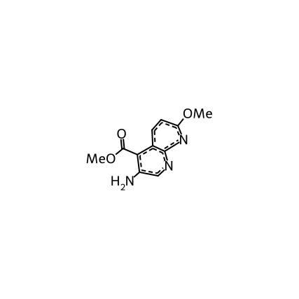 COC(=O)c1c(N)cnc2nc(OC)ccc12